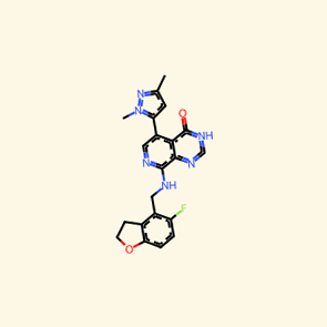 Cc1cc(-c2cnc(NCc3c(F)ccc4c3CCO4)c3nc[nH]c(=O)c23)n(C)n1